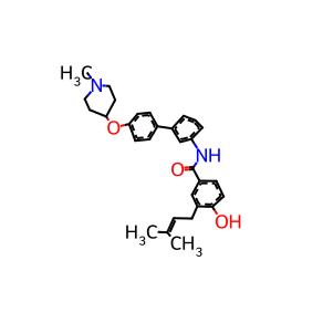 CC(C)=CCc1cc(C(=O)Nc2cccc(-c3ccc(OC4CCN(C)CC4)cc3)c2)ccc1O